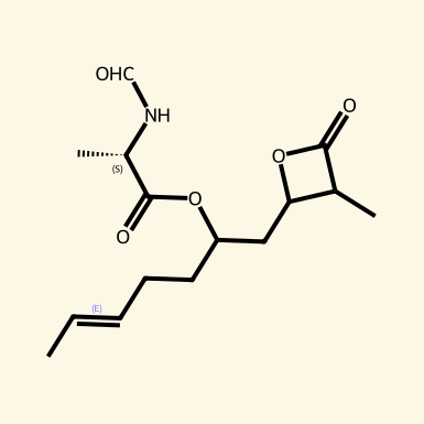 C/C=C/CCC(CC1OC(=O)C1C)OC(=O)[C@H](C)NC=O